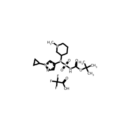 CN1CCCC(N(c2cnn(C3CC3)c2)S(=O)(=O)NC(=O)OC(C)(C)C)C1.O=C(O)C(F)(F)F